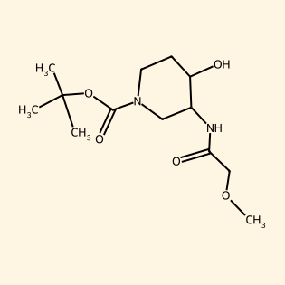 COCC(=O)NC1CN(C(=O)OC(C)(C)C)CCC1O